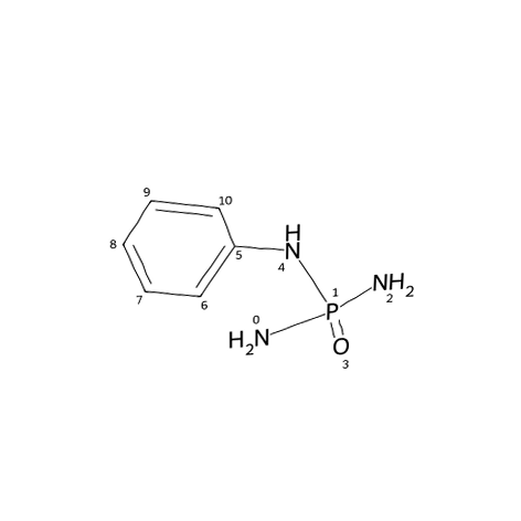 NP(N)(=O)Nc1ccccc1